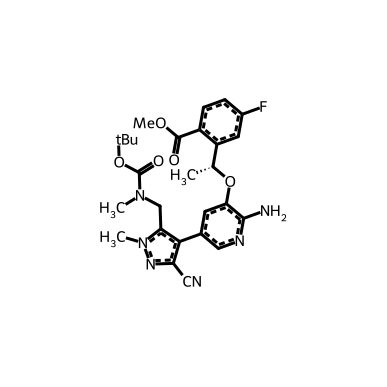 COC(=O)c1ccc(F)cc1[C@@H](C)Oc1cc(-c2c(C#N)nn(C)c2CN(C)C(=O)OC(C)(C)C)cnc1N